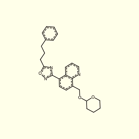 c1ccc(CCCc2nc(-c3ccc(COC4CCCCO4)c4ncccc34)no2)cc1